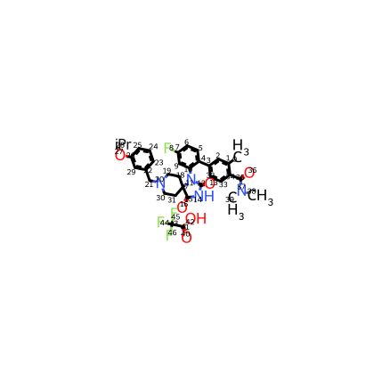 Cc1cc(-c2ccc(F)cc2N2C(=O)NC(=O)C23CCN(Cc2cccc(OC(C)C)c2)CC3)ccc1C(=O)N(C)C.O=C(O)C(F)(F)F